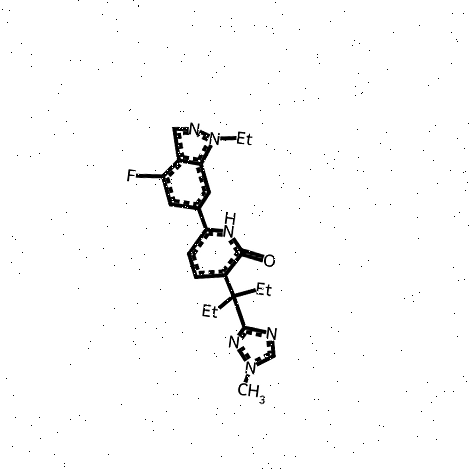 CCn1ncc2c(F)cc(-c3ccc(C(CC)(CC)c4ncn(C)n4)c(=O)[nH]3)cc21